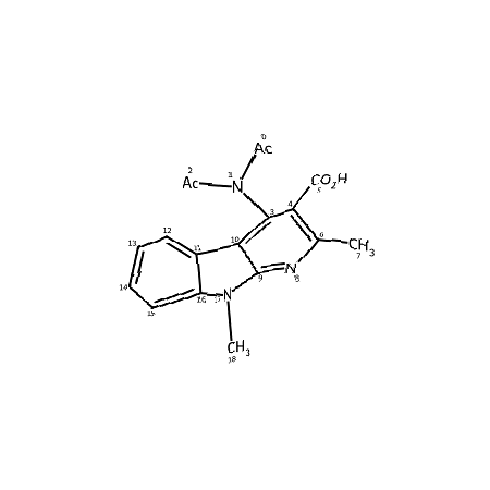 CC(=O)N(C(C)=O)c1c(C(=O)O)c(C)nc2c1c1ccccc1n2C